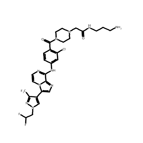 NCCCNC(=O)CN1CCN(C(=O)c2ccc(Nc3nccn4c(-c5cn(CC(F)F)nc5C(F)(F)F)cnc34)cc2Cl)CC1